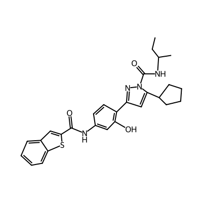 CCC(C)NC(=O)n1nc(-c2ccc(NC(=O)c3cc4ccccc4s3)cc2O)cc1C1CCCC1